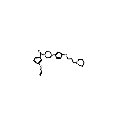 C=CCOc1cccc(C(=O)N2CCN(c3ccc(OCCCN4CCCCC4)cc3)CC2)c1